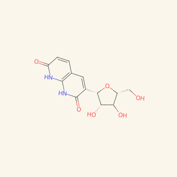 O=c1ccc2cc([C@@H]3O[C@H](CO)C(O)[C@@H]3O)c(=O)[nH]c2[nH]1